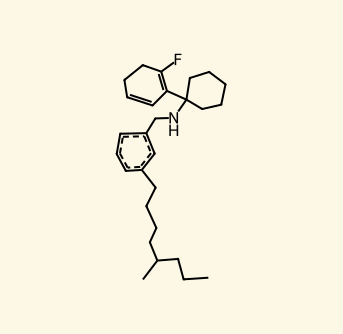 CCCC(C)CCCCc1cccc(CNC2(C3=C(F)CCC=C3)CCCCC2)c1